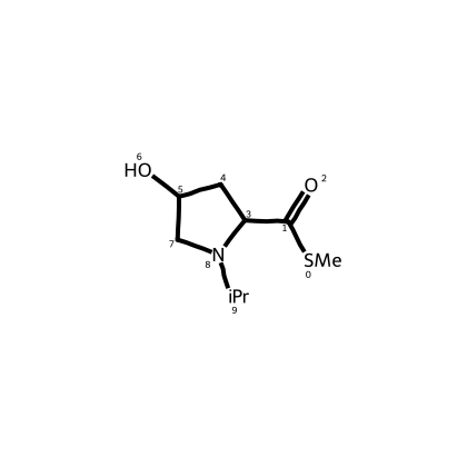 CSC(=O)C1CC(O)CN1C(C)C